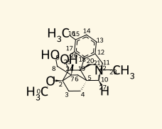 CO[C@]12CC[C@@]3(C[C@H]1CO)[C@H]1Cc4ccc(C)c5c4[C@@]3(CCN1C)C2O5